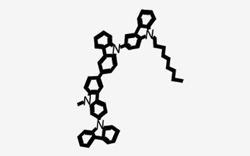 CCCCCCCCCn1c2ccccc2c2cc(-n3c4ccccc4c4cc(-c5ccc6c(c5)c5ccc(-n7c8ccccc8c8ccccc87)cc5n6C)ccc43)ccc21